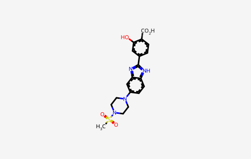 CS(=O)(=O)N1CCN(c2ccc3[nH]c(-c4ccc(C(=O)O)c(O)c4)nc3c2)CC1